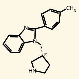 Cc1ccc(-c2nc3ccccc3n2C[C@@H]2CCNC2)cc1